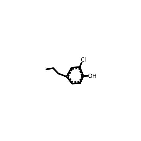 Oc1ccc(CCI)cc1Cl